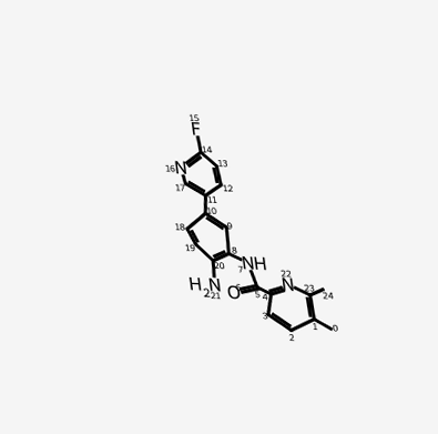 Cc1ccc(C(=O)Nc2cc(-c3ccc(F)nc3)ccc2N)nc1C